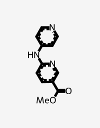 COC(=O)c1ccc(Nc2ccncc2)nc1